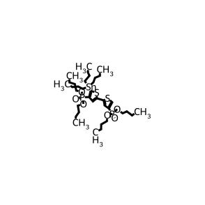 CCCCOP(=O)(OCCCC)c1csc(-c2cc(P(=O)(OCCCC)OCCCC)[c]([Sn]([CH2]CCC)([CH2]CCC)[CH2]CCC)s2)c1